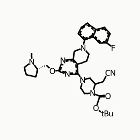 CN1CCC[C@H]1COc1nc2c(c(N3CCN(C(=O)OC(C)(C)C)C(CC#N)C3)n1)CCN(c1cccc3ccc(F)cc13)C2